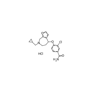 Cl.NC(=O)c1ccc(OC2CCN(CC3CC3)Cc3occc32)c(Cl)c1